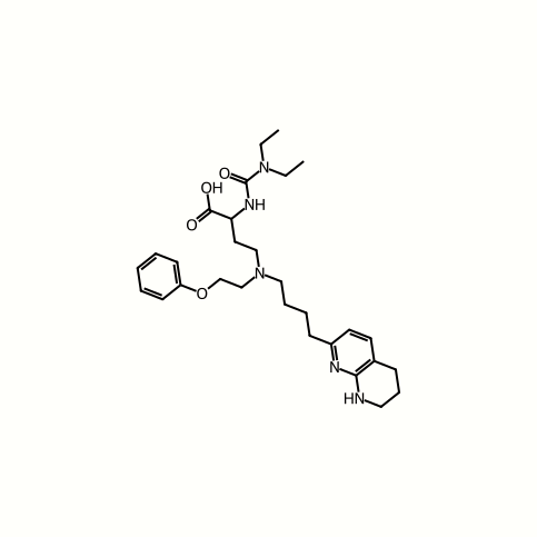 CCN(CC)C(=O)NC(CCN(CCCCc1ccc2c(n1)NCCC2)CCOc1ccccc1)C(=O)O